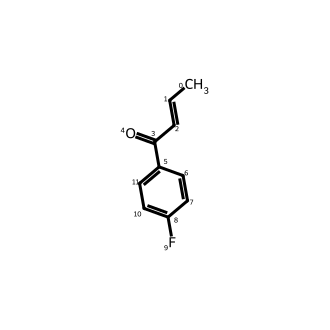 CC=CC(=O)c1ccc(F)cc1